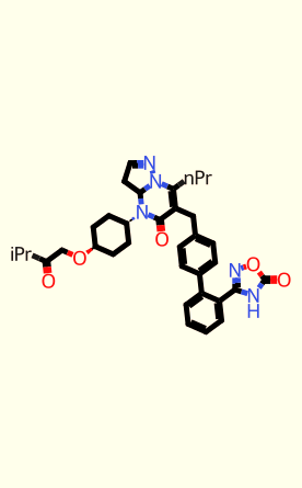 CCCC1=C(Cc2ccc(-c3ccccc3-c3noc(=O)[nH]3)cc2)C(=O)N([C@H]2CC[C@H](OCC(=O)C(C)C)CC2)C2CC=NN12